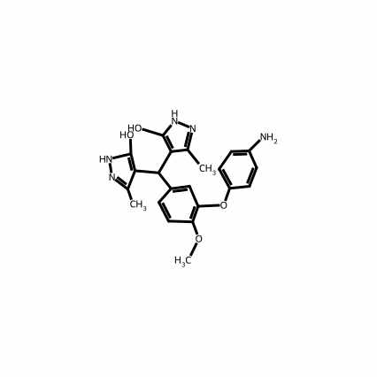 COc1ccc(C(c2c(C)n[nH]c2O)c2c(C)n[nH]c2O)cc1Oc1ccc(N)cc1